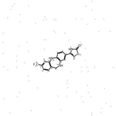 O=c1[nH]c(-c2ccc3c(c2)NCc2ccc(C(F)(F)F)nc2N3)no1